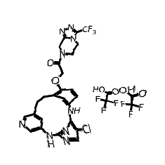 O=C(COc1ccc2cc1CCc1cncc(c1)Nc1ncc(Cl)c(n1)N2)N1CCn2c(nnc2C(F)(F)F)C1.O=C(O)C(F)(F)F.O=C(O)C(F)(F)F